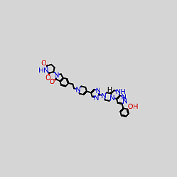 O=C1CCC(N2Cc3cc(CCN4CC=C(c5cnc(N6CCN7c8cc(-c9ccccc9O)nnc8NC[C@H]7C6)nc5)CC4)ccc3C2=O)C(=O)N1